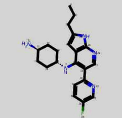 CCCc1cc2c(N[C@H]3CC[C@H](N)CC3)c(-c3ccc(F)cn3)cnc2[nH]1